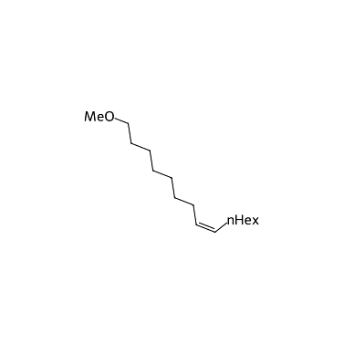 CCCCCC/C=C\CCCCCCCOC